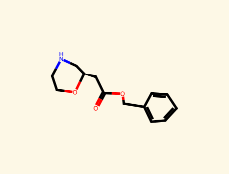 O=C(C[C@@H]1CNCCO1)OCc1ccccc1